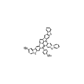 CC(C)(C)c1ccc(N2B3c4cc5sc6ccccc6c5cc4-n4c5cc6sc7ccccc7c6cc5c5ccc(c3c54)-c3cc4c(cc32)sc2ccc(C(C)(C)C)cc24)cc1